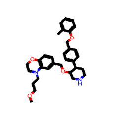 COCCCN1CCOc2ccc(COC3CNCCC3c3ccc(COc4ccccc4C)cc3)cc21